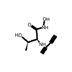 C#CC#C.C[C@@H](O)[C@H](N)C(=O)NO